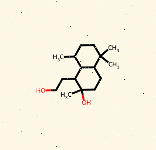 CC1CCC(C)(C)C2CCC(C)(O)C(CCO)C12